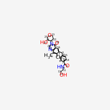 Cc1c(Cc2ccc(C(=O)NCCO)cc2)cc2c(=O)n([C@H]3CCOC[C@@H]3O)cnc2c1C